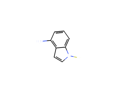 Nc1cccc2c1ccn2S